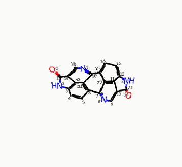 O=C1Nc2ccc3c4ncc5c6c(ccc(c7ncc1c2c37)c64)NC5=O